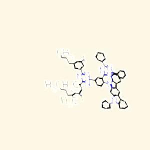 C=C(/C=C(I)\C=C(/C)CCCC)c1nc(-c2cc(I)cc(CCCC)c2)nc(-c2ccc(-n3c4ccccc4c4cc5c6ccccc6n(-c6ccccc6)c5cc43)c(-c3nc(-c4ccccc4)nc(-c4ccccc4)n3)c2)n1